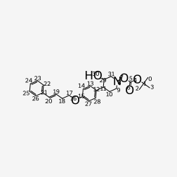 CC(C)(C)OC(=O)ON1CCC(c2ccc(OCC/C=C/c3ccccc3)cc2)C(O)C1